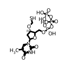 Cc1cn(C2C[C@H](OCS)C(COP(=O)(O)OP(=O)(O)OP(=O)(O)O)O2)c(=O)[nH]c1=O